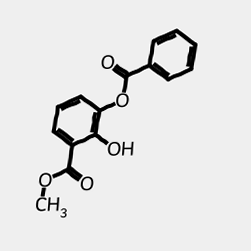 COC(=O)c1cccc(OC(=O)c2ccccc2)c1O